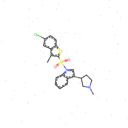 Cc1c(S(=O)(=O)n2cc(C3CCN(C)C3)c3ccccc32)sc2ccc(Cl)cc12